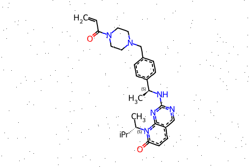 C=CC(=O)N1CCN(Cc2ccc([C@H](C)Nc3ncc4ccc(=O)n([C@@H](C)C(C)C)c4n3)cc2)CC1